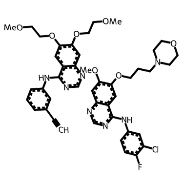 C#Cc1cccc(Nc2ncnc3cc(OCCOC)c(OCCOC)cc23)c1.COc1cc2ncnc(Nc3ccc(F)c(Cl)c3)c2cc1OCCCN1CCOCC1